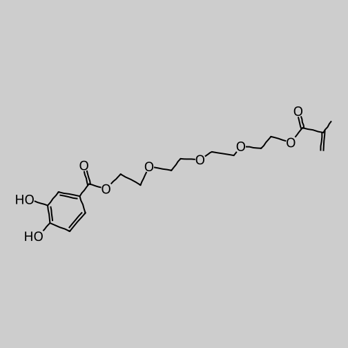 C=C(C)C(=O)OCCOCCOCCOCCOC(=O)c1ccc(O)c(O)c1